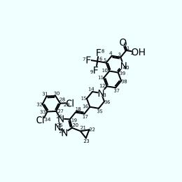 O=C(O)c1cc(C(F)(F)F)c2cc(N3CCC(C=Cc4c(C5CC5)nnn4-c4c(Cl)cccc4Cl)CC3)ccc2n1